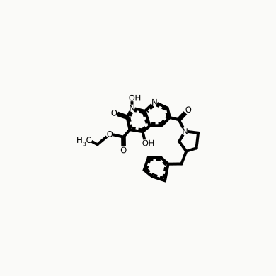 CCOC(=O)c1c(O)c2cc(C(=O)N3CCC(Cc4ccccc4)C3)cnc2n(O)c1=O